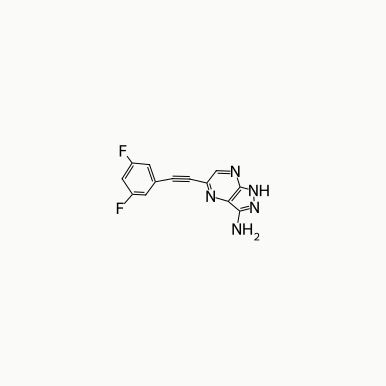 Nc1n[nH]c2ncc(C#Cc3cc(F)cc(F)c3)nc12